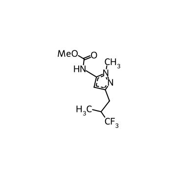 COC(=O)Nc1cc(CC(C)C(F)(F)F)nn1C